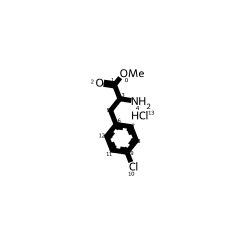 COC(=O)C(N)Cc1ccc(Cl)cc1.Cl